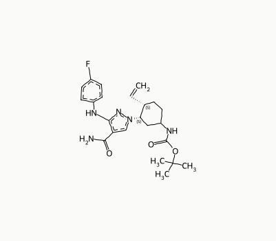 C=C[C@@H]1CCC(NC(=O)OC(C)(C)C)C[C@@H]1n1cc(C(N)=O)c(Nc2ccc(F)cc2)n1